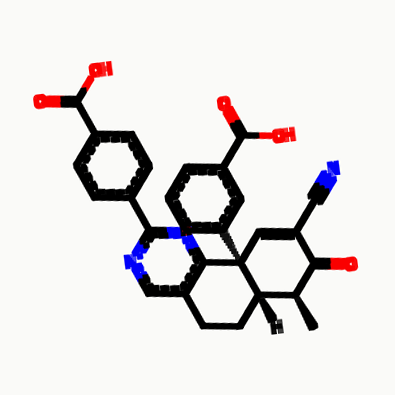 C[C@@H]1C(=O)C(C#N)=C[C@]2(c3cccc(C(=O)O)c3)c3nc(-c4ccc(C(=O)O)cc4)ncc3CC[C@@H]12